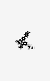 COc1ccc(-c2ccc(Cn3c(CC(C)(C)C(=O)O)c(SC(C)(C)C)c4cc(OCC(C)(C)O)ccc43)cc2)cn1